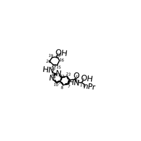 CCCC(O)NC(=O)c1ccc2cnc(N[C@H]3CC[C@H](O)CC3)nc2c1